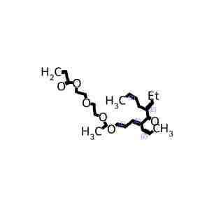 C=CC(=O)OCCOCCOC(C)O/C=C/C=C(\C=C/C)C(=O)/C(=C/CC)C/C=C\C